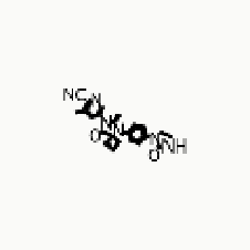 C=C1N(c2cnc(C#N)c(C)c2)C(=O)C2(CCC2)N1c1ccc(N2CCNC2=O)cc1